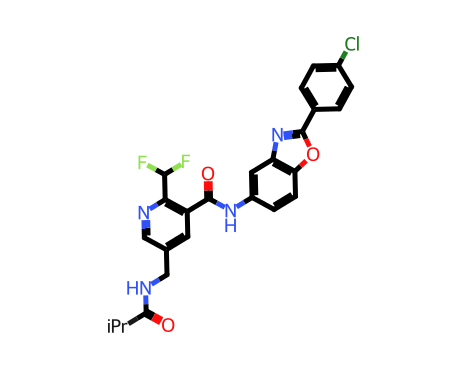 CC(C)C(=O)NCc1cnc(C(F)F)c(C(=O)Nc2ccc3oc(-c4ccc(Cl)cc4)nc3c2)c1